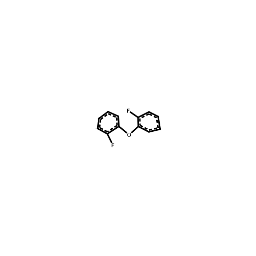 Fc1[c]cccc1Oc1ccccc1F